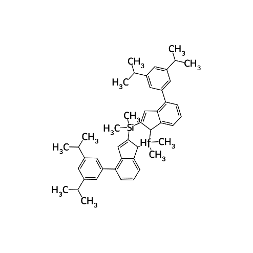 CC(C)c1cc(-c2cccc3c2C=C2[CH]3[Hf]([CH3])([CH3])[CH]3C(=Cc4c(-c5cc(C(C)C)cc(C(C)C)c5)cccc43)[Si]2(C)C)cc(C(C)C)c1